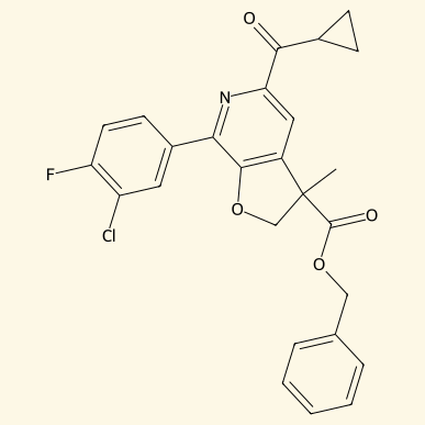 CC1(C(=O)OCc2ccccc2)COc2c1cc(C(=O)C1CC1)nc2-c1ccc(F)c(Cl)c1